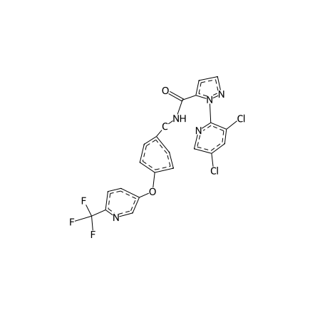 O=C(NCc1ccc(Oc2ccc(C(F)(F)F)nc2)cc1)c1ccnn1-c1ncc(Cl)cc1Cl